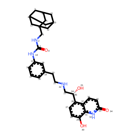 O=C(NCC12CC3CC(CC(C3)C1)C2)Nc1cccc(CCNC[C@H](O)c2ccc(O)c3[nH]c(=O)ccc23)c1